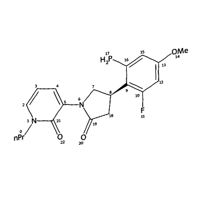 CCCn1cccc(N2C[C@@H](c3c(F)cc(OC)cc3P)CC2=O)c1=O